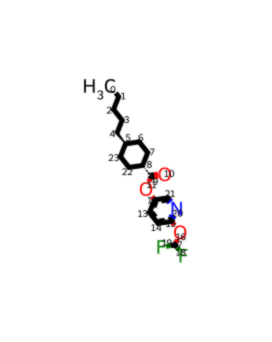 CCCCC[C@H]1CC[C@H](C(=O)Oc2ccc(OC(F)F)nc2)CC1